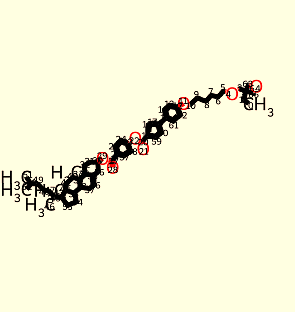 CCC1(COCCCCCCOc2ccc(-c3ccc(C(=O)Oc4ccc(C(=O)OC5CCC6(C)C(=CCC7C6CCC6(C)C(C(C)CCCC(C)C)CCC76)C5)cc4)cc3)cc2)COC1